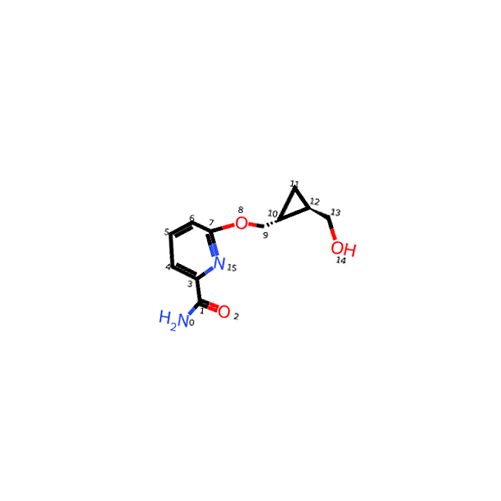 NC(=O)c1cccc(OC[C@@H]2C[C@H]2CO)n1